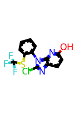 Oc1ccc2nc(Cl)n(-c3ccccc3SC(F)(F)F)c2n1